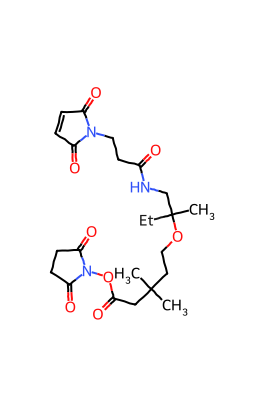 CCC(C)(CNC(=O)CCN1C(=O)C=CC1=O)OCCC(C)(C)CC(=O)ON1C(=O)CCC1=O